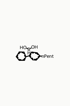 CCCCCc1ccc(-c2ccccc2)cc1.OBO